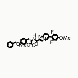 COC(=O)[C@H](Cc1ccc(OCc2ccccc2)cc1)NC(=O)c1cn2cc(-c3c(F)cc(OC)cc3F)ccc2n1